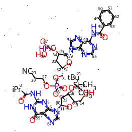 CC(C)C(=O)Nc1nc2c(ncn2[C@@H]2O[C@H](CO)[C@@H](O[Si](C)(C)C(C)(C)C)[C@H]2OP(=O)(OCCC#N)OC[C@@H]2C[C@@H](O[PH](=O)O)[C@H](n3cnc4c(NC(=O)c5ccccc5)ncnc43)O2)c(=O)[nH]1